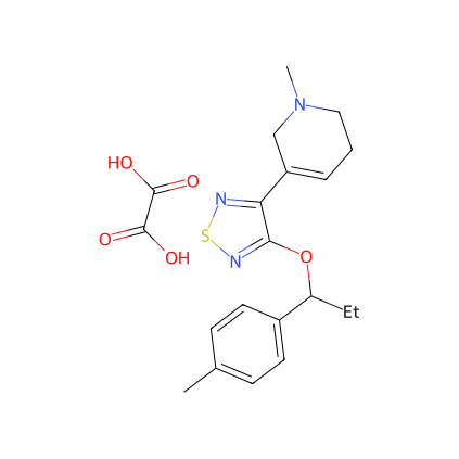 CCC(Oc1nsnc1C1=CCCN(C)C1)c1ccc(C)cc1.O=C(O)C(=O)O